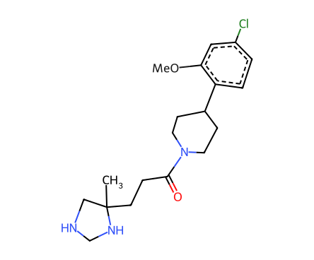 COc1cc(Cl)ccc1C1CCN(C(=O)CCC2(C)CNCN2)CC1